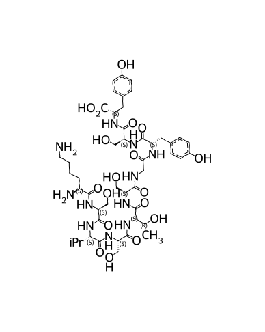 CC(C)[C@H](NC(=O)[C@H](CO)NC(=O)[C@@H](N)CCCCN)C(=O)N[C@@H](CO)C(=O)N[C@H](C(=O)N[C@@H](CO)C(=O)NCC(=O)N[C@@H](Cc1ccc(O)cc1)C(=O)N[C@@H](CO)C(=O)N[C@@H](Cc1ccc(O)cc1)C(=O)O)[C@@H](C)O